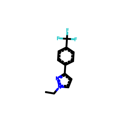 CCn1ccc(-c2ccc(C(F)(F)F)cc2)n1